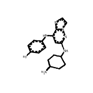 NC1CCC(Nc2cc(Nc3ccc(O)cc3)c3nccn3n2)CC1